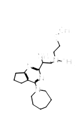 CSCCN(C)CC(N)c1nc2c(c(N3CCCCCC3)n1)CCC2